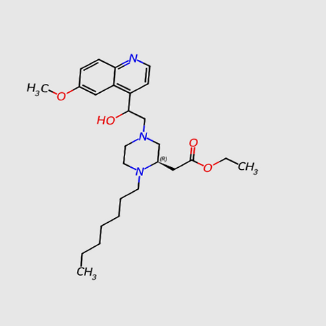 CCCCCCCN1CCN(CC(O)c2ccnc3ccc(OC)cc23)C[C@H]1CC(=O)OCC